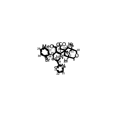 COC(=O)C1=C(CN2[C@@H]3COC[C@H]2CC(CC(=O)O)C3)NC(c2nccs2)=N[C@H]1c1ccccc1Br